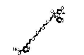 CN1C(=O)C[C@H](C(=O)NCCOCCOCCOCCOCCCc2cc(C(=O)O)ccn2)[C@H]1c1cccnc1